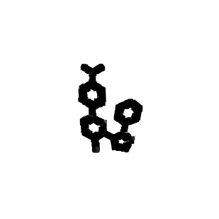 CN(C)c1ccc(-n2ccc(=O)c(-c3ccnn3-c3ccccc3)n2)cc1